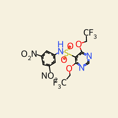 O=[N+]([O-])c1cc(NS(=O)(=O)c2c(OCC(F)(F)F)ncnc2OCC(F)(F)F)cc([N+](=O)[O-])c1